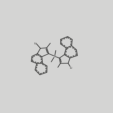 [Li][CH]1C(C)=C([Si](C)(C)C2=C(C)[CH]([Li])c3ccc4ccccc4c32)c2c1ccc1ccccc21